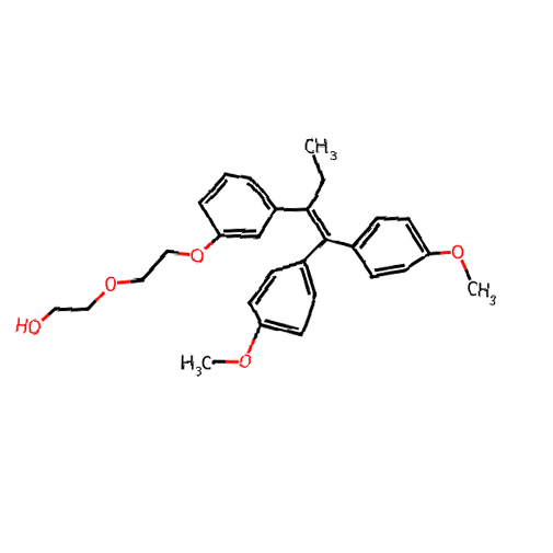 CCC(=C(c1ccc(OC)cc1)c1ccc(OC)cc1)c1cccc(OCCOCCO)c1